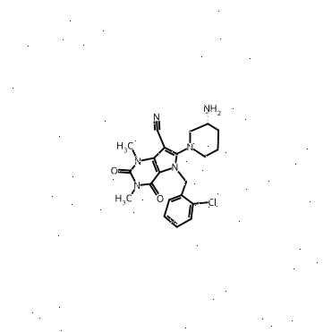 Cn1c(=O)c2c(c(C#N)c(N3CCC[C@@H](N)C3)n2Cc2ccccc2Cl)n(C)c1=O